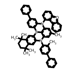 Cc1cc2c3c(c1)N(c1cccc4oc5ccccc5c14)c1cc(-c4ccccc4)ccc1B3c1cc3c(cc1N2c1ccc(-c2ccccc2)cc1C)C(C)(C)CCC3(C)C